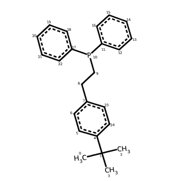 CC(C)(C)c1ccc(CCP(c2ccccc2)c2ccccc2)cc1